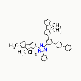 Cc1ccc2c(c1)C(C)(C)c1cc(-c3nc(-c4ccccc4)nc(-c4cc(-c5ccc(-c6ccccc6)cc5)cc(-c5ccc6c(c5)C(C)(C)c5ccccc5-6)c4)n3)ccc1-2